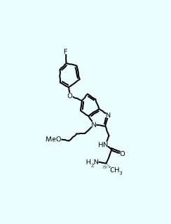 COCCCn1c(CNC(=O)[C@H](C)N)nc2ccc(Oc3ccc(F)cc3)cc21